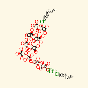 [Cl-].[Cl-].[Cl-].[Cl-].[Cl-].[K+].[K+].[K+].[K+].[K+].[O]=[Cr](=[O])([O-])[O][Cr](=[O])(=[O])[O-].[O]=[Cr](=[O])([O-])[O][Cr](=[O])(=[O])[O-].[O]=[Cr](=[O])([O-])[O][Cr](=[O])(=[O])[O-].[O]=[Cr](=[O])([O-])[O][Cr](=[O])(=[O])[O-].[O]=[Cr](=[O])([O-])[O][Cr](=[O])(=[O])[O-].[Ta+5].[Ta+5]